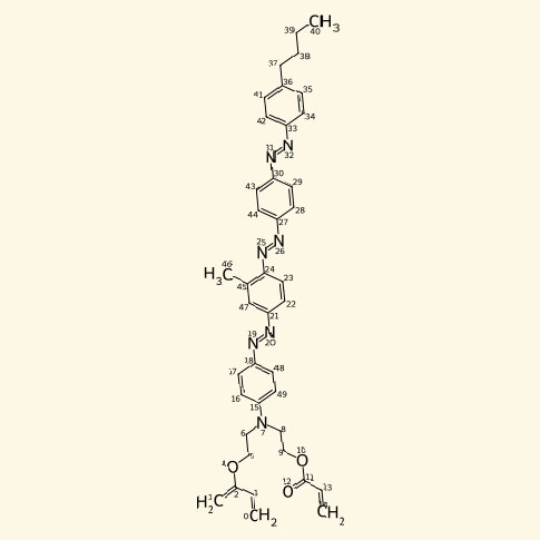 C=CC(=C)OCCN(CCOC(=O)C=C)c1ccc(N=Nc2ccc(N=Nc3ccc(N=Nc4ccc(CCCC)cc4)cc3)c(C)c2)cc1